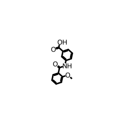 COc1ccccc1C(=O)Nc1cccc(C(=O)O)c1